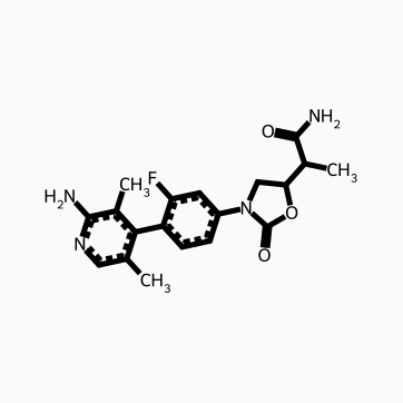 Cc1cnc(N)c(C)c1-c1ccc(N2CC(C(C)C(N)=O)OC2=O)cc1F